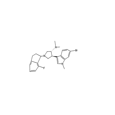 CN(C)[C@H]1CN(C2CCc3cccc(F)c32)C[C@@H]1c1cn(C)c2cc(Br)ccc12